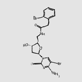 Nc1nc(=O)n([C@H]2C[C@H](O)[C@@H](CNC(=O)Cc3ccccc3Br)O2)cc1Br